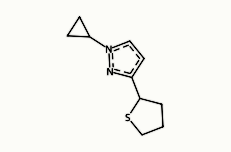 c1cn(C2CC2)nc1C1CCCS1